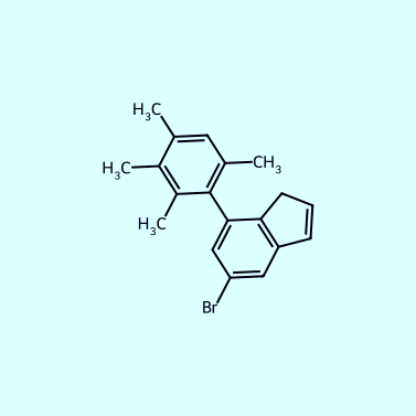 Cc1cc(C)c(-c2cc(Br)cc3c2CC=C3)c(C)c1C